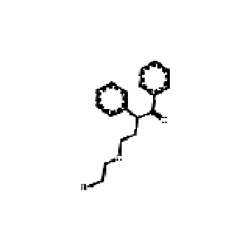 O=C(c1ccccc1)C(CCOCCBr)c1ccccc1